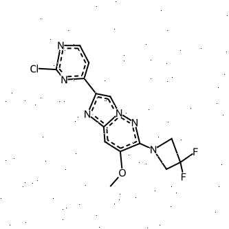 COc1cc2nc(-c3ccnc(Cl)n3)cn2nc1N1CC(F)(F)C1